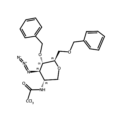 [N-]=[N+]=N[C@H]1[C@H](OCc2ccccc2)[C@@H](COCc2ccccc2)O[CH][C@@H]1NC(=O)C(Cl)(Cl)Cl